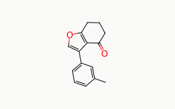 Cc1cccc(-c2coc3c2C(=O)CCC3)c1